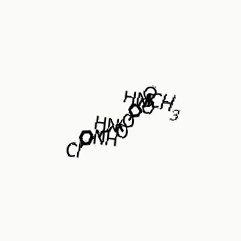 CS(=O)(=O)Nc1ccc(OCC(=O)NCCNc2cccc(Cl)c2)cc1